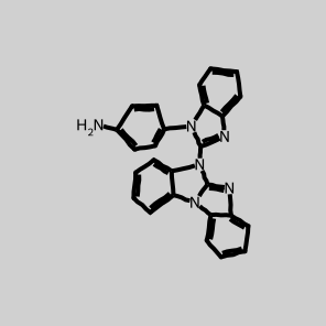 Nc1ccc(-n2c(-n3c4ccccc4n4c5ccccc5nc34)nc3ccccc32)cc1